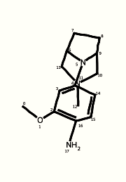 COc1cc(N2C3CCC2CN(C)C3)ccc1N